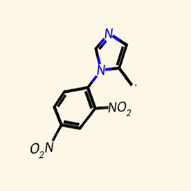 [CH2]c1cncn1-c1ccc([N+](=O)[O-])cc1[N+](=O)[O-]